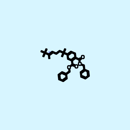 C/C(=C\CCC(C)(C)C1=CCC(C(=O)OCc2ccccc2)=C(C(=O)OCc2ccccc2)C1)C(C)(C)C